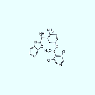 CC(Oc1ccc(N)c(C(=N)c2nc3ccccc3o2)c1)c1c(Cl)cncc1Cl